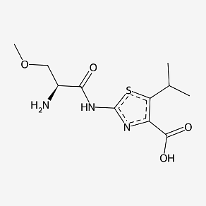 COC[C@H](N)C(=O)Nc1nc(C(=O)O)c(C(C)C)s1